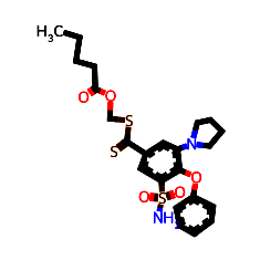 CCCCC(=O)OCSC(=S)c1cc(N2CCCC2)c(Oc2ccccc2)c(S(N)(=O)=O)c1